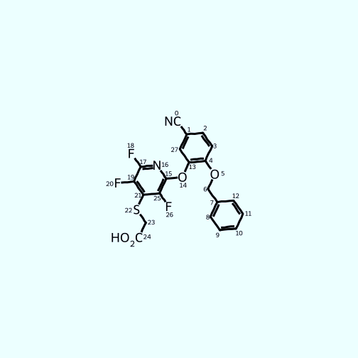 N#Cc1ccc(OCc2ccccc2)c(Oc2nc(F)c(F)c(SCC(=O)O)c2F)c1